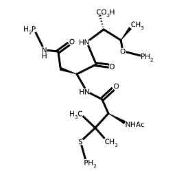 CC(=O)N[C@H](C(=O)N[C@@H](CC(=O)NP)C(=O)N[C@H](C(=O)O)[C@@H](C)OP)C(C)(C)SP